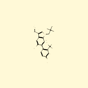 CC(C)(C)Cn1cc(CN)c2cc(F)c(-c3ccc(F)cc3C(F)(F)F)cc21